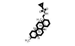 C[C@H]1CC[C@H]2[C@H](CC[C@@H]3[C@@H]2CC[C@]2(C)[C@@H](CNS(=O)(=O)C4CC4)CCC[C@@H]32)C1